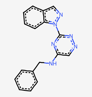 c1ccc(CNc2cnnc(-n3ncc4ccccc43)n2)cc1